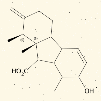 C=C1CCC2C3C=CC(O)C(C)C3C(C(=O)O)[C@]2(C)[C@H]1C